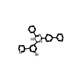 Brc1cc(-c2cccnc2)cc(C2N=C(c3ccc(-c4ccccc4)cc3)N=C(c3ccccc3)N2)c1